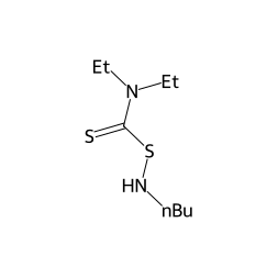 CCCCNSC(=S)N(CC)CC